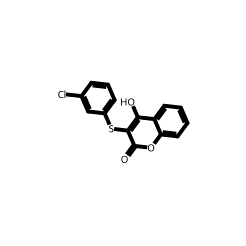 O=c1oc2ccccc2c(O)c1Sc1cccc(Cl)c1